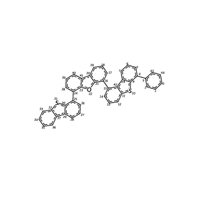 c1ccc(-c2cccc3c2sc2cccc(-c4cccc5c4oc4c(-c6cccc7c6sc6ccccc67)cccc45)c23)cc1